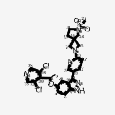 C[C@@H](Oc1ccc2[nH]nc(-c3ccc(N4CC5(CCN(S(C)(=O)=O)C5)C4)nc3)c2c1)c1c(Cl)cncc1Cl